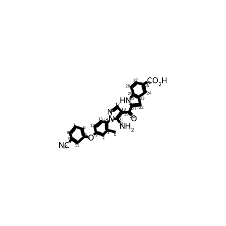 Cc1cc(Oc2cccc(C#N)c2)ccc1-n1ncc(C(=O)c2cc3cc(C(=O)O)ccc3[nH]2)c1N